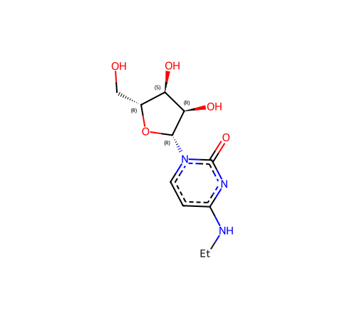 CCNc1ccn([C@@H]2O[C@H](CO)[C@@H](O)[C@H]2O)c(=O)n1